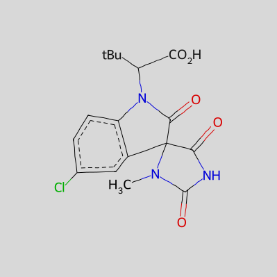 CN1C(=O)NC(=O)C12C(=O)N(C(C(=O)O)C(C)(C)C)c1ccc(Cl)cc12